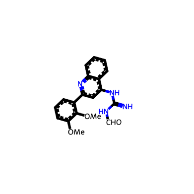 COc1cccc(-c2cc(NC(=N)NC=O)c3ccccc3n2)c1OC